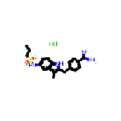 CCCS(=O)(=O)Nc1ccc2[nH]c(Cc3ccc(C(=N)N)cc3)c(C)c2c1.Cl